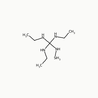 CCNC(N[SiH3])(NCC)NCC